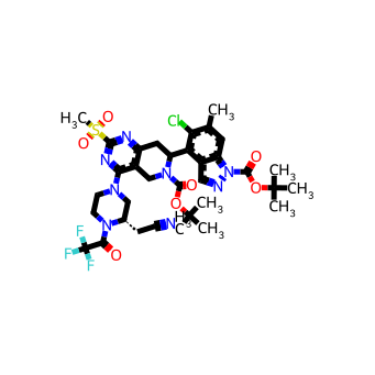 Cc1cc2c(cnn2C(=O)OC(C)(C)C)c(C2Cc3nc(S(C)(=O)=O)nc(N4CCN(C(=O)C(F)(F)F)[C@@H](CC#N)C4)c3CN2C(=O)OC(C)(C)C)c1Cl